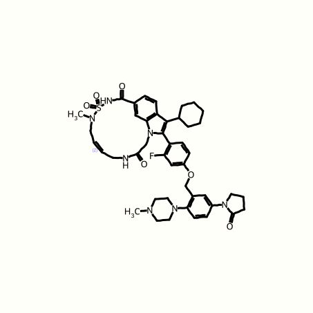 CN1CCN(c2ccc(N3CCCC3=O)cc2COc2ccc(-c3c(C4CCCCC4)c4ccc5cc4n3CC(=O)NC/C=C\CN(C)S(=O)(=O)NC5=O)c(F)c2)CC1